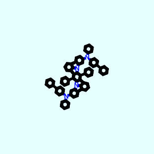 c1ccc(-c2ccc(N(c3ccccc3)c3ccc4c5cccc6c7c(-c8ccccc8)c8c(c(-c9ccccc9)c7n(c4c3)c56)c3cccc4c5ccc(N(c6ccccc6)c6ccc(-c7ccccc7)cc6)cc5n8c43)cc2)cc1